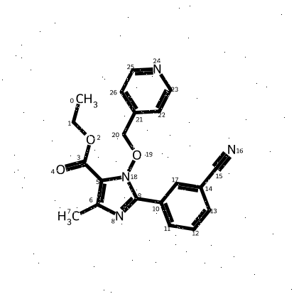 CCOC(=O)c1c(C)nc(-c2cccc(C#N)c2)n1OCc1ccncc1